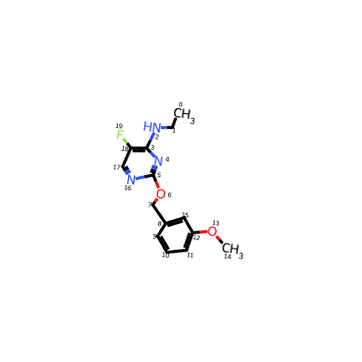 CCNc1nc(OCc2cccc(OC)c2)ncc1F